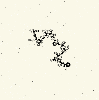 C[C@@H](O)[C@H](NC(=O)[C@H](CO)NC(=O)CNC(=O)[C@@H]1CCCN1C(=O)CNC(=O)[C@H](CO)NC(=O)[C@H](CO)NC(=O)CNC(=O)[C@H](CO)NC(=O)[C@H](CC(N)=O)NC(=O)[C@@H](N)Cc1c[nH]c2ccccc12)C(=O)NCC(=O)N[C@@H](CC(N)=O)C(=O)N[C@@H](CCCNC(=N)N)C(=O)O